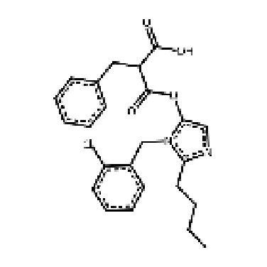 CCCCc1ncc(OC(=O)C(Cc2ccccc2)C(=O)O)n1Cc1ccccc1Cl